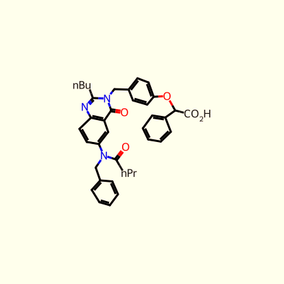 CCCCc1nc2ccc(N(Cc3ccccc3)C(=O)CCC)cc2c(=O)n1Cc1ccc(OC(C(=O)O)c2ccccc2)cc1